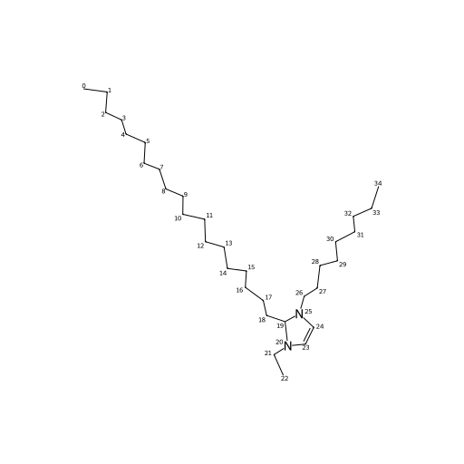 CCCCCCCCCCCCCCCCCCCC1N(CC)C=CN1CCCCCCCCC